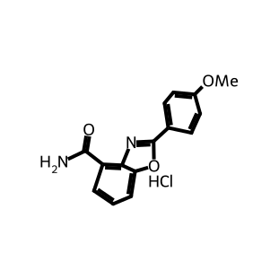 COc1ccc(-c2nc3c(C(N)=O)cccc3o2)cc1.Cl